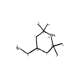 CC1(C)CC(CBr)CC(C)(C)N1